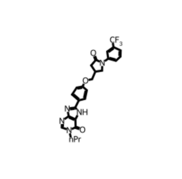 CCCn1cnc2nc(-c3ccc(OCC4CC(=O)N(c5cccc(C(F)(F)F)c5)C4)cc3)[nH]c2c1=O